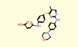 Cc1cnc(Nc2ccc(N3CCOCC3)cc2)nc1Sc1ccc(NC(=O)/C=C\C(=O)O)cc1